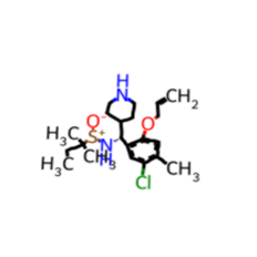 C=CCOc1cc(C)c(Cl)cc1[C@H](N[S@@+]([O-])C(C)(C)CC)C1CCNCC1